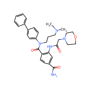 CN(C)CCCN(C(=O)c1ccc(C(N)=O)cc1NC(=O)CN1CCOCC1)c1ccc(-c2ccccc2)cc1